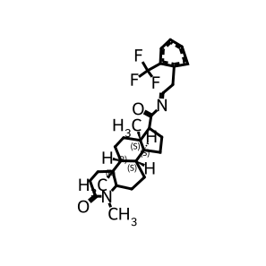 CN1C(=O)CC[C@@]2(C)C1CC[C@@H]1[C@H]2CC[C@]2(C)C(C(=O)N=CCc3ccccc3C(F)(F)F)CC[C@@H]12